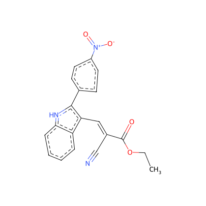 CCOC(=O)C(C#N)=Cc1c(-c2ccc([N+](=O)[O-])cc2)[nH]c2ccccc12